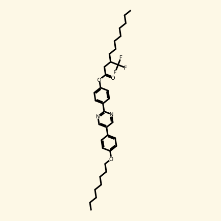 CCCCCCCCOc1ccc(-c2cnc(-c3ccc(OC(=O)CC(CCCCCCCC)C(F)(F)F)cc3)nc2)cc1